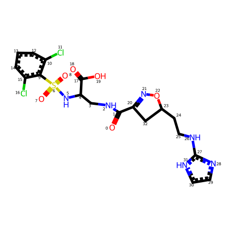 O=C(NCC(NS(=O)(=O)c1c(Cl)cccc1Cl)C(=O)O)C1=NOC(CCNc2ncc[nH]2)C1